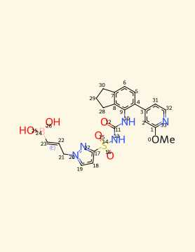 COc1cc(-c2ccc3c(c2NC(=O)NS(=O)(=O)c2ccn(C/C=C/B(O)O)n2)CCC3)ccn1